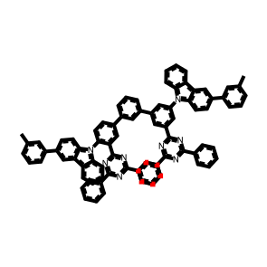 Cc1cccc(-c2ccc3c(c2)c2ccccc2n3-c2cc(-c3cccc(-c4ccc(-n5c6ccccc6c6cc(-c7cccc(C)c7)ccc65)c(-c5nc(-c6ccccc6)nc(-c6ccccc6)n5)c4)c3)cc(-c3nc(-c4ccccc4)nc(-c4ccccc4)n3)c2)c1